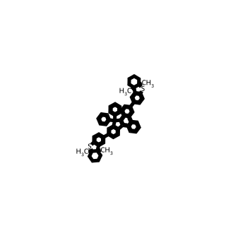 CC12CCCCC1(C)c1cc(-c3ccc4c(c3)C(c3ccccc3)(c3ccccc3)c3c-4c4ccccc4c4cc(-c5ccc6c(c5)C5(C)CCCCC5(C)S6)ccc34)ccc1S2